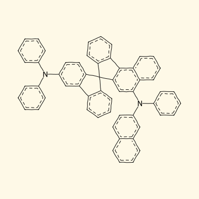 c1ccc(N(c2ccccc2)c2ccc3c(c2)-c2ccccc2C32c3ccccc3-c3c2cc(N(c2ccccc2)c2ccc4ccccc4c2)c2ccccc32)cc1